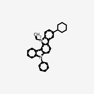 C=Cn1c2ccc(C3CCCCC3)cc2c2ccc3c(c4ccccc4n3-c3ccccc3)c21